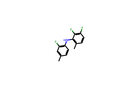 Cc1ccc(Nc2c(C)ccc(F)c2F)c(F)c1